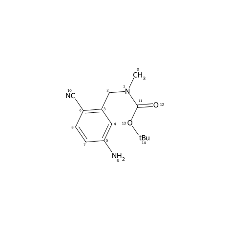 CN(Cc1cc(N)ccc1C#N)C(=O)OC(C)(C)C